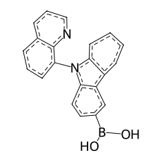 OB(O)c1ccc2c(c1)c1ccccc1n2-c1cccc2cccnc12